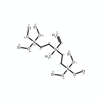 C=C[Si](C)(CC[Si](OCC)(OCC)OCC)CC[Si](OCC)(OCC)OCC